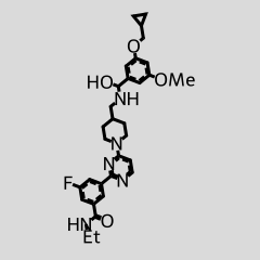 CCNC(=O)c1cc(F)cc(-c2nccc(N3CCC(CNC(O)c4cc(OC)cc(OCC5CC5)c4)CC3)n2)c1